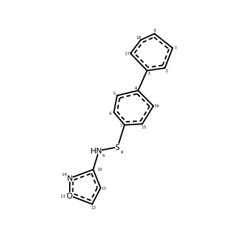 c1ccc(-c2ccc(SNc3ccon3)cc2)cc1